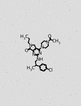 CCCN1Cc2c(nc(NCC(C)c3ccc(Cl)cc3)nc2N2CCN(C(C)=O)CC2)C1=O